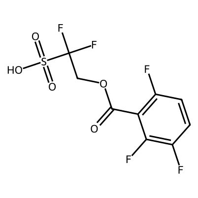 O=C(OCC(F)(F)S(=O)(=O)O)c1c(F)ccc(F)c1F